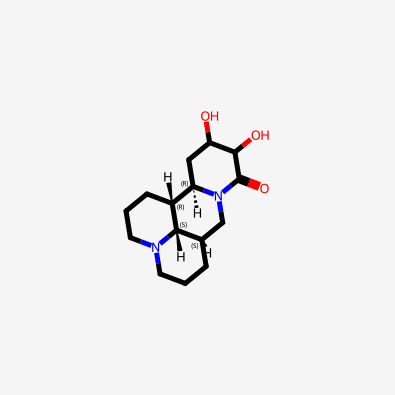 O=C1C(O)C(O)C[C@@H]2[C@H]3CCCN4CCC[C@@H](CN12)[C@@H]34